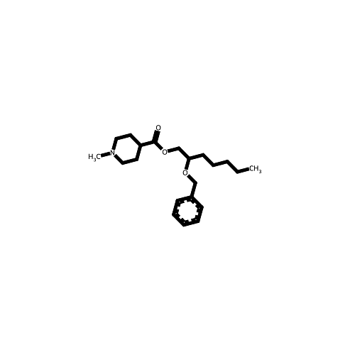 CCCCCC(COC(=O)C1CCN(C)CC1)OCc1ccccc1